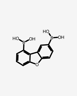 OB(O)c1ccc2oc3cccc(B(O)O)c3c2c1